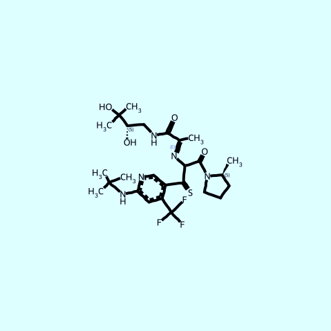 C/C(=N\C(C(=O)N1CCC[C@@H]1C)C(=S)c1cnc(NC(C)(C)C)cc1C(F)(F)F)C(=O)NC[C@H](O)C(C)(C)O